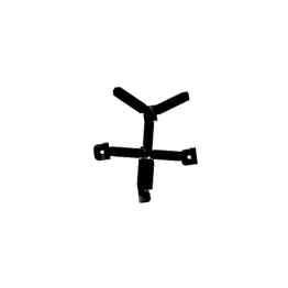 CN(C)P(=S)(Cl)Cl